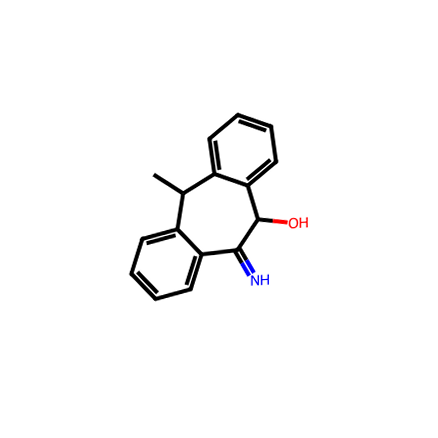 CC1c2ccccc2C(=N)C(O)c2ccccc21